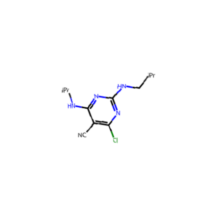 CC(C)CNc1nc(Cl)c(C#N)c(NC(C)C)n1